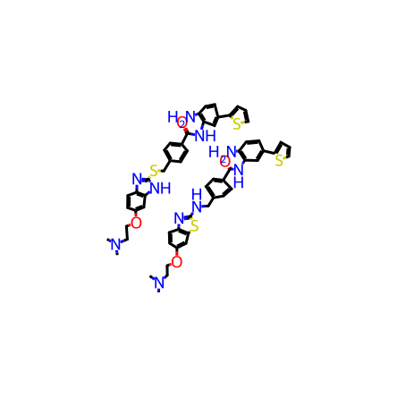 CN(C)CCOc1ccc2nc(NCc3ccc(C(=O)Nc4cc(-c5cccs5)ccc4N)cc3)sc2c1.CN(C)CCOc1ccc2nc(SCc3ccc(C(=O)Nc4cc(-c5cccs5)ccc4N)cc3)[nH]c2c1